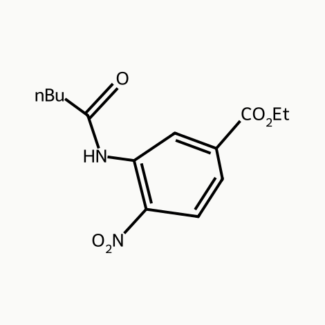 CCCCC(=O)Nc1cc(C(=O)OCC)ccc1[N+](=O)[O-]